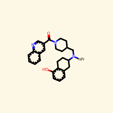 CCCN(CC1CCN(C(=O)c2cnc3ccccc3c2)CC1)C1CCc2c(O)cccc2C1